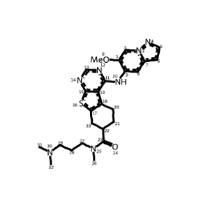 COc1cn2nccc2cc1Nc1ncnc2sc3c(c12)CCC(C(=O)N(C)CCCN(C)C)C3